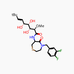 CO[C@@H](C(=O)NC1CSCCN(Cc2ccc(F)c(F)c2)C1=O)[C@H](O)[C@@H](O)[C@H](O)/C=C/C(C)(C)C